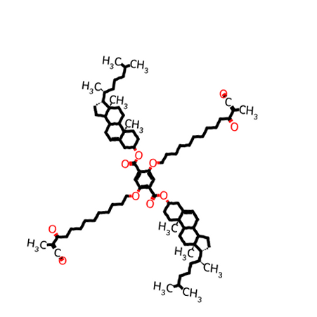 CC(=C=O)C(=O)CCCCCCCCCCOc1cc(C(=O)OC2CC[C@@]3(C)C(=CCC4C3CC[C@@]3(C)C4CC[C@@H]3[C@H](C)CCCC(C)C)C2)c(OCCCCCCCCCCC(=O)C(C)=C=O)cc1C(=O)OC1CC[C@@]2(C)C(=CCC3C2CC[C@@]2(C)C3CC[C@@H]2[C@H](C)CCCC(C)C)C1